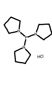 C1CCN(P(N2CCCC2)N2CCCC2)C1.Cl